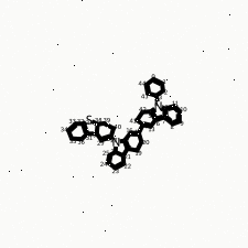 C1=CCC(n2c3c(c4ccccc42)C=C(C2=CC4=C(CC2)C2C=CC=CC2N4C2=CC4C5=C(C=CCC5)SC4CC2)CC3)C=C1